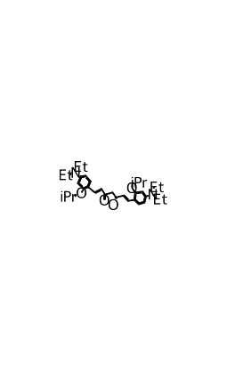 CCN(CC)c1ccc(/C=C/C(=O)CC(=O)/C=C/c2ccc(N(CC)CC)cc2OC(C)C)c(OC(C)C)c1